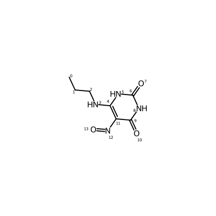 CCCNc1[nH]c(=O)[nH]c(=O)c1N=O